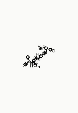 CC(C)C1(C)CCC(c2ccc(Cl)cc2)=C(CN2CCN(c3ccc(C(=O)NS(=O)(=O)c4ccc(N[C@H](CCN5CCOCC5)CSc5ccccc5)c(S(=O)(=O)C(F)(F)F)c4)cc3)CC2)C1